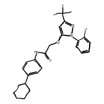 O=C(COc1cc(C(F)(F)F)nn1-c1ccccc1Cl)Nc1ccc(C2CCCCC2)cc1